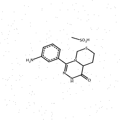 CS(=O)(=O)O.Nc1cccc(C2=NNC(=O)C3CCSCN23)c1